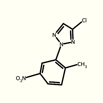 Cc1ccc([N+](=O)[O-])cc1-n1ncc(Cl)n1